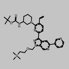 C=Cc1ccc(-c2nn(COCC[Si](C)(C)C)c3cnc(-c4cccnc4)cc23)nc1N1CCCC(NC(=O)OC(C)(C)C)C1